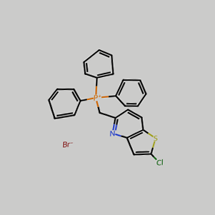 Clc1cc2nc(C[P+](c3ccccc3)(c3ccccc3)c3ccccc3)ccc2s1.[Br-]